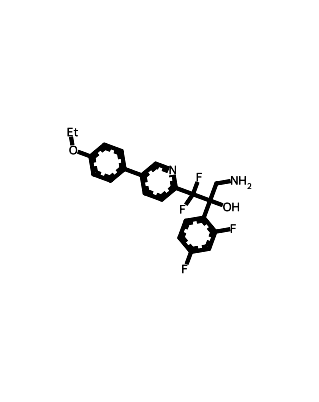 CCOc1ccc(-c2ccc(C(F)(F)C(O)(CN)c3ccc(F)cc3F)nc2)cc1